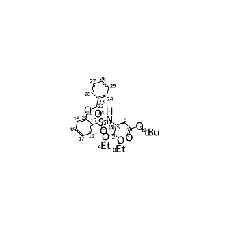 CCOC(OCC)[C@H](CC(=O)OC(C)(C)C)NS(=O)(=O)c1ccccc1OCc1ccccc1